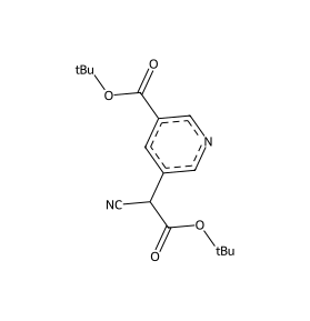 CC(C)(C)OC(=O)c1cncc(C(C#N)C(=O)OC(C)(C)C)c1